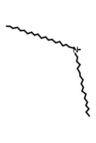 CCCCCCCCCCCCCCCCCCCCN(C)CCCCCCCCCCCCCCCCCC